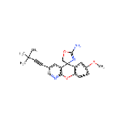 COc1ccc2c(c1)[C@]1(COC(N)=N1)c1cc(C#CC(C)(C)C)cnc1O2